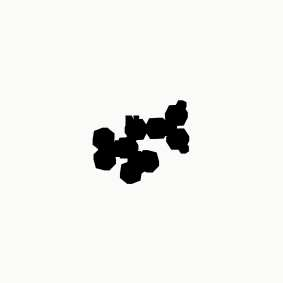 Cc1ccc(N(c2ccc(C)cc2)c2ccc(-c3cncc(-c4cc(-n5c6ccccc6c6ccccc65)cc(-n5c6ccccc6c6ccccc65)c4)c3)cc2)cc1